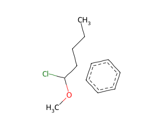 CCCCC(Cl)OC.c1ccccc1